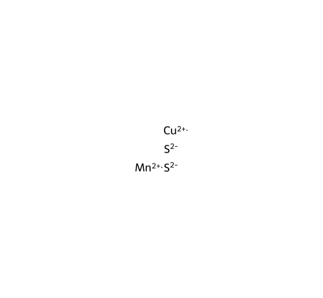 [Cu+2].[Mn+2].[S-2].[S-2]